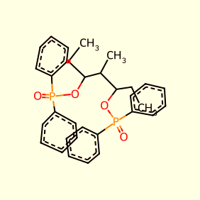 CCC(OP(=O)(c1ccccc1)c1ccccc1)C(C)C(CC)OP(=O)(c1ccccc1)c1ccccc1